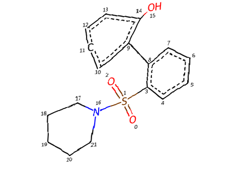 O=S(=O)(c1ccccc1-c1ccccc1O)N1CCCCC1